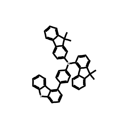 CC1(C)c2ccccc2-c2ccc(N(c3ccc(-c4cccc5sc6ccccc6c45)cc3)c3cccc4c3-c3ccccc3C4(C)C)cc21